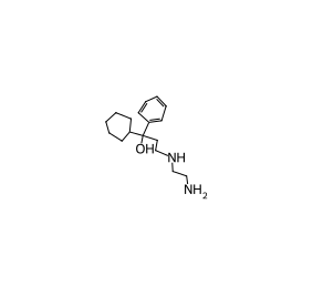 NCCNCCC(O)(c1ccccc1)C1CCCCC1